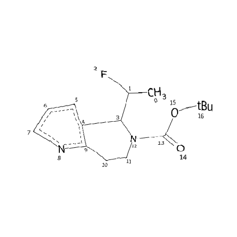 CC(F)C1c2cccnc2CCN1C(=O)OC(C)(C)C